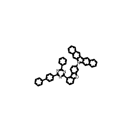 c1ccc(-c2ccc(-c3nc(-c4ccccc4)nc(-c4cccc5oc6cc(-n7c8cc9ccccc9cc8c8cc9ccccc9cc87)ccc6c45)n3)cc2)cc1